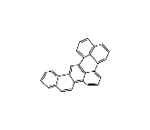 c1ccc2c(c1)ccc1c2cc2c3cccc4cccc(c5cccc1c52)c43